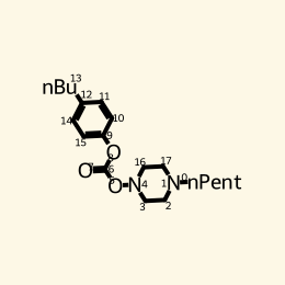 CCCCCN1CCN(OC(=O)Oc2ccc(CCCC)cc2)CC1